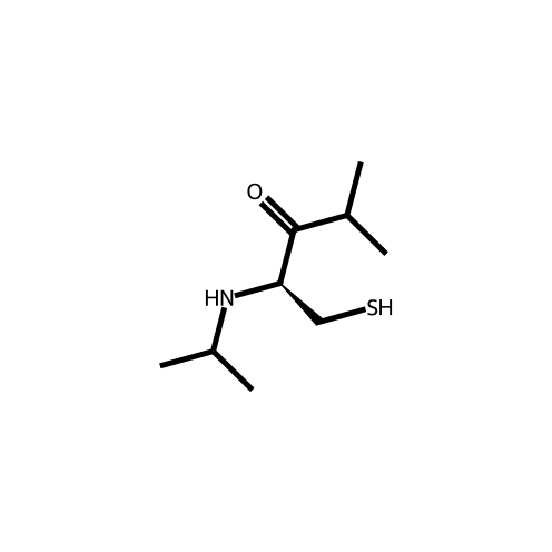 CC(C)N[C@H](CS)C(=O)C(C)C